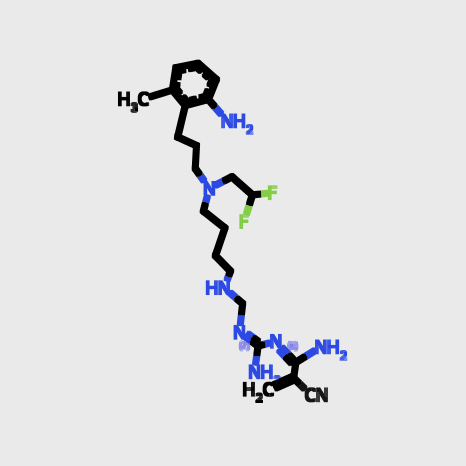 C=C(C#N)/C(N)=N\C(N)=N/CNCCCCN(CCCc1c(C)cccc1N)CC(F)F